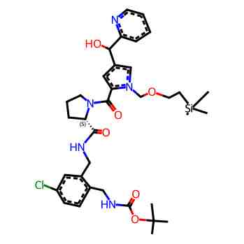 CC(C)(C)OC(=O)NCc1ccc(Cl)cc1CNC(=O)[C@@H]1CCCN1C(=O)c1cc(C(O)c2ccccn2)cn1COCC[Si](C)(C)C